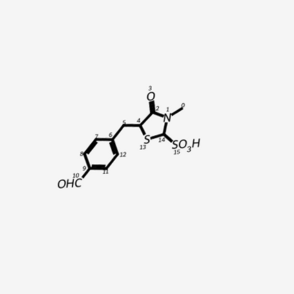 CN1C(=O)C(Cc2ccc(C=O)cc2)SC1S(=O)(=O)O